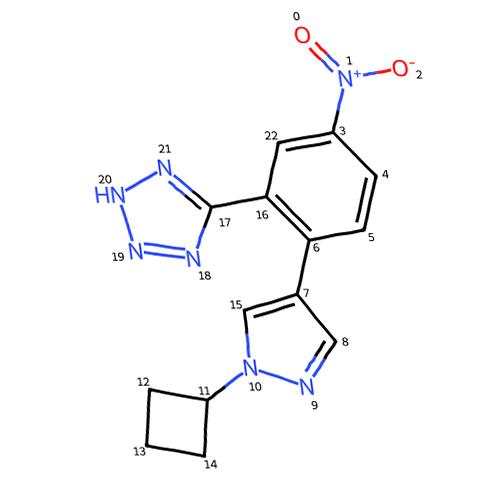 O=[N+]([O-])c1ccc(-c2cnn(C3CCC3)c2)c(-c2nn[nH]n2)c1